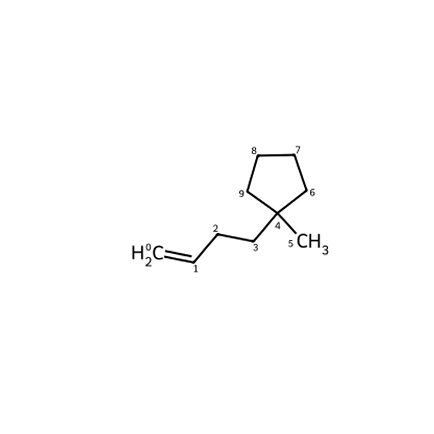 C=CCCC1(C)CCCC1